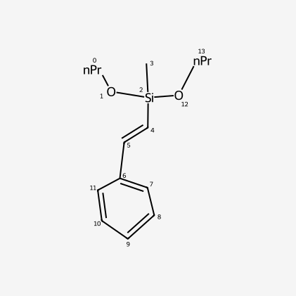 CCCO[Si](C)(C=Cc1ccccc1)OCCC